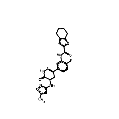 Cc1cc(NC2CC(c3ccc(F)c(NC(=O)c4cc5c(s4)CCCC5)c3)=NNC2=O)no1